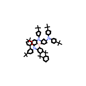 CC(C)(C)c1ccc(N(c2ccc(C(C)(C)C)cc2)c2ccc3c(c2)N(c2ccc(C(C)(C)C)cc2)c2cc(C(C)(C)C)cc4c2B3c2cc3c(cc2N4c2ccc(C(C)(C)C)cc2-c2ccccc2)C(C)(C)c2ccccc2C3(C)C)cc1